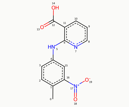 Cc1ccc(Nc2ncccc2C(=O)O)cc1[N+](=O)[O-]